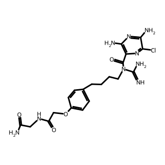 N=C(N)N(CCCCc1ccc(OCC(=O)NCC(N)=O)cc1)C(=O)c1nc(Cl)c(N)nc1N